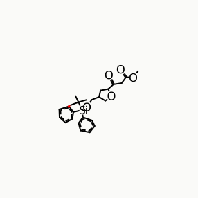 COC(=O)CC(=O)C1CC(CO[Si](c2ccccc2)(c2ccccc2)C(C)(C)C)CO1